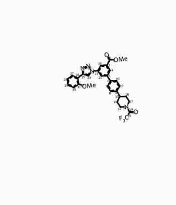 COC(=O)c1cc(-c2ccc(C3CCN(C(=O)C(F)(F)F)CC3)cc2)cc(-n2cc(-c3ccccc3OC)nn2)c1